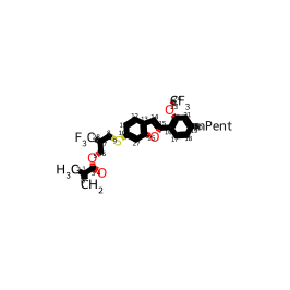 C=C(C)C(=O)OCC(CSc1ccc2cc(-c3ccc(CCCCC)cc3OC(F)(F)F)oc2c1)C(F)(F)F